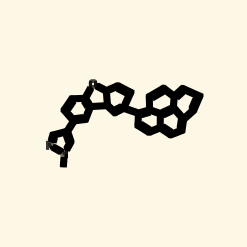 Cn1cc(-c2ccc3c(c2)C2C=C(c4ccc5ccc6cccc7ccc4c5c67)C=CC2O3)cn1